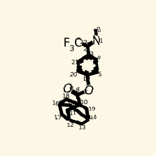 C/N=C(/c1ccc(OC(=O)C23CC4CC(CC(C4)C2)C3)cc1)C(F)(F)F